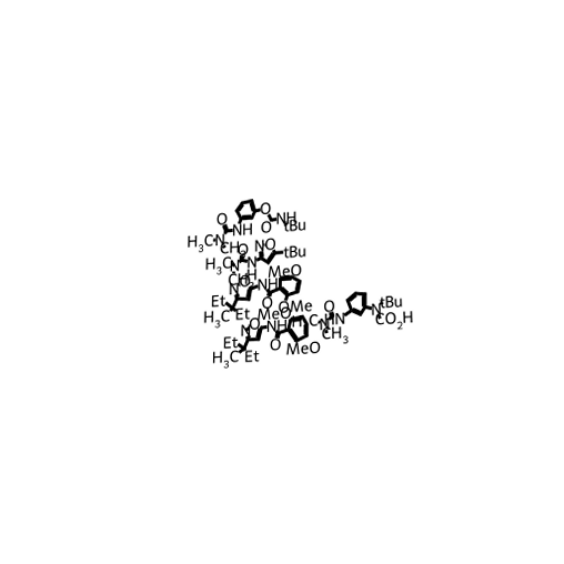 CCC(C)(CC)c1cc(NC(=O)c2c(OC)cccc2OC)on1.CCC(C)(CC)c1cc(NC(=O)c2c(OC)cccc2OC)on1.CN(C)C(=O)Nc1cc(C(C)(C)C)on1.CN(C)C(=O)Nc1cccc(N(C(=O)O)C(C)(C)C)c1.CN(C)C(=O)Nc1cccc(OC(=O)NC(C)(C)C)c1